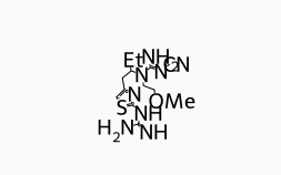 CCC(Cc1csc(NC(=N)N)n1)N(CCOC)C(N)=NC#N